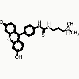 C[SiH](C)CCCNC(=S)Nc1ccc(-c2c3ccc(=O)cc-3oc3cc(O)ccc23)cc1